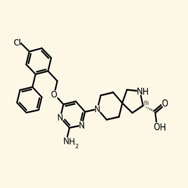 Nc1nc(OCc2ccc(Cl)cc2-c2ccccc2)cc(N2CCC3(CC2)CN[C@H](C(=O)O)C3)n1